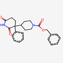 O=C1CCC(c2ccccc2)(C2CCN(C(=O)OCc3ccccc3)CC2)C(=O)N1